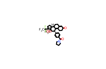 C[C@]12C[C@H](c3ccc(C(=O)N4CCCC4)cc3)C3=C4CCC(=O)C=C4CC[C@H]3[C@@H]1CC[C@]2(O)C(F)(F)C(F)(F)F